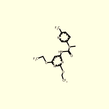 CN(C(=O)Nc1cc(OCC(F)(F)F)nc(OCC(F)(F)F)n1)c1ccc(C(F)(F)F)nc1